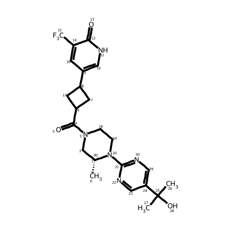 C[C@@H]1CN(C(=O)C2CC(c3c[nH]c(=O)c(C(F)(F)F)c3)C2)CCN1c1ncc(C(C)(C)O)cn1